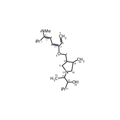 C=C/C(=C\C=C(\NC)C(C)C)OCC1CN(C(C)C(O)C(C)C)CC1C